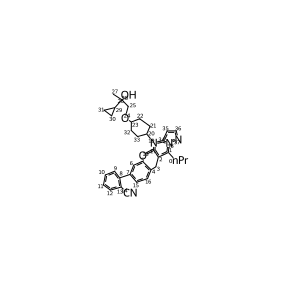 CCCc1c(Cc2ccc(-c3ccccc3C#N)cc2)c(=O)n(C2CCC(OCC(C)(O)C3CC3)CC2)c2ccnn12